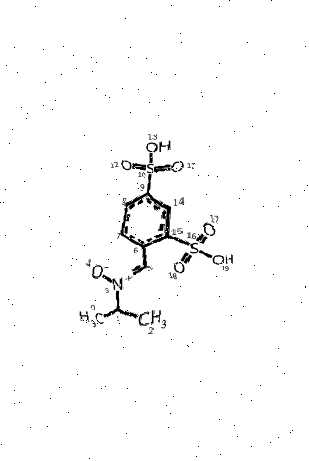 CC(C)[N+]([O-])=Cc1ccc(S(=O)(=O)O)cc1S(=O)(=O)O